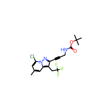 Cc1cc(Cl)n2nc(C#CCNC(=O)OC(C)(C)C)c(CC(F)(F)F)c2c1